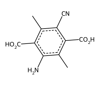 Cc1c(C#N)c(C(=O)O)c(C)c(N)c1C(=O)O